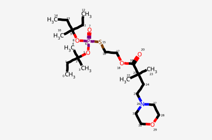 CCC(C)(C)OP(=O)(OC(C)(CC)CC)SCCOC(=O)C(C)(C)CCN1CCOCC1